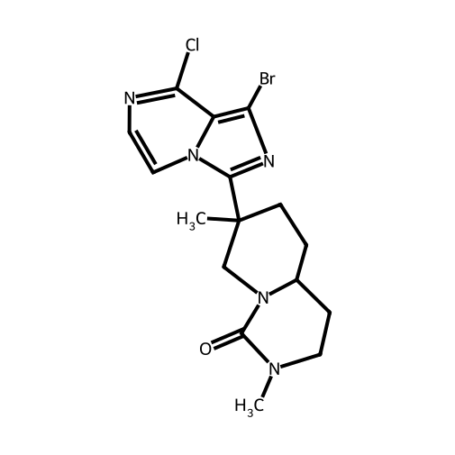 CN1CCC2CCC(C)(c3nc(Br)c4c(Cl)nccn34)CN2C1=O